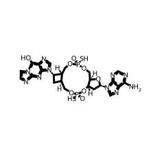 Nc1ncnc2c1ncn2[C@H]1C[C@@H]2OP(=O)(S)OC[C@H]3C[C@@H](n4cnc5c(O)n6ccnc6nc54)[C@@H]3COP(=O)(S)OC[C@H]2O1